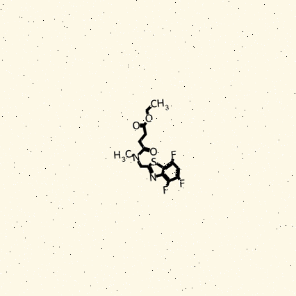 CCOC(=O)CCC(=O)N(C)Cc1nc2c(F)c(F)cc(F)c2s1